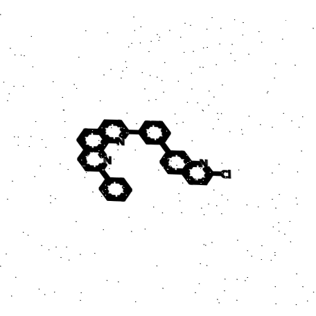 Clc1ccc2ccc(-c3cccc(-c4ccc5ccc6ccc(-c7ccccc7)nc6c5n4)c3)cc2n1